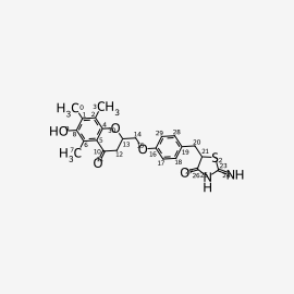 Cc1c(C)c2c(c(C)c1O)C(=O)CC(COc1ccc(CC3SC(=N)NC3=O)cc1)O2